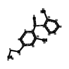 CCOc1ccc(C(=O)c2ccccc2O)c(O)c1